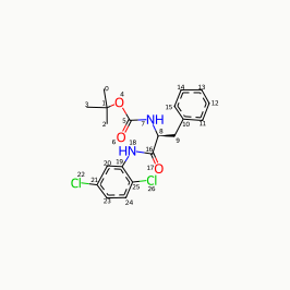 CC(C)(C)OC(=O)N[C@@H](Cc1ccccc1)C(=O)Nc1cc(Cl)ccc1Cl